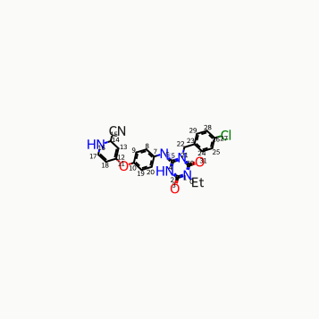 CCn1c(=O)[nH]/c(=N\c2ccc(OC3=CC(C#N)NC=C3)cc2)n(Cc2ccc(Cl)cc2)c1=O